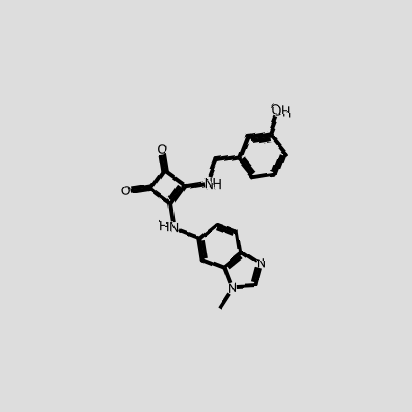 Cn1cnc2ccc(Nc3c(NCc4cccc(O)c4)c(=O)c3=O)cc21